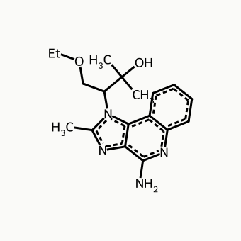 CCOCC(n1c(C)nc2c(N)nc3ccccc3c21)C(C)(C)O